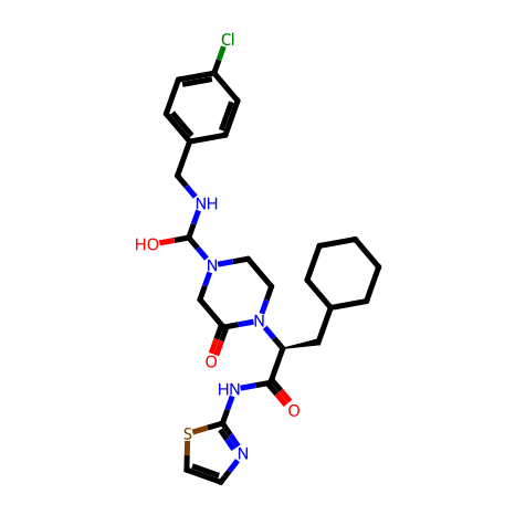 O=C(Nc1nccs1)[C@H](CC1CCCCC1)N1CCN(C(O)NCc2ccc(Cl)cc2)CC1=O